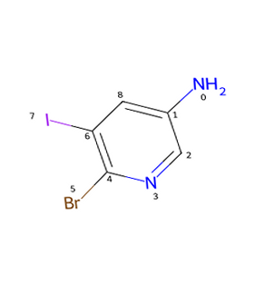 Nc1cnc(Br)c(I)c1